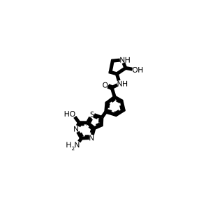 Nc1nc(O)c2sc(-c3cccc(C(=O)NC4CCNC4O)c3)cc2n1